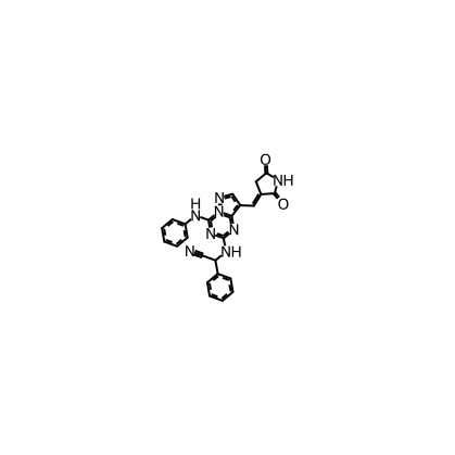 N#CC(Nc1nc(Nc2ccccc2)n2ncc(C=C3CC(=O)NC3=O)c2n1)c1ccccc1